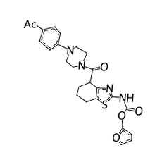 CC(=O)c1ccc(N2CCN(C(=O)C3CCCc4sc(NC(=O)Oc5ccco5)nc43)CC2)cc1